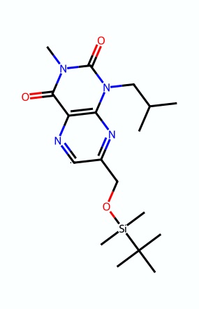 CC(C)Cn1c(=O)n(C)c(=O)c2n[c]c(CO[Si](C)(C)C(C)(C)C)nc21